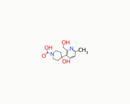 Cc1ccc(C2(O)CCN(C(=O)O)CC2)c(CO)n1